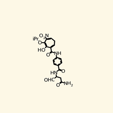 CC(C)OC1=C(O)C(C(=O)Nc2ccc(C(=O)NC(C=O)CC(N)=O)cc2)=CCC=C1[N+](=O)[O-]